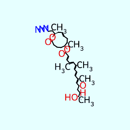 CC(=C/C=C/C(C)=C/[C@H](O)CC[C@H](C)O)C=C(C)/C=C/C(=O)O[C@H]1CCCC(=O)O[C@@H]([C@@H](C)CN=[N+]=[N-])C/C=C/C[C@@H]1C